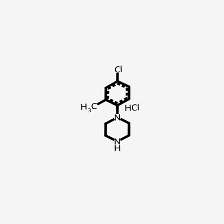 Cc1cc(Cl)ccc1N1CCNCC1.Cl